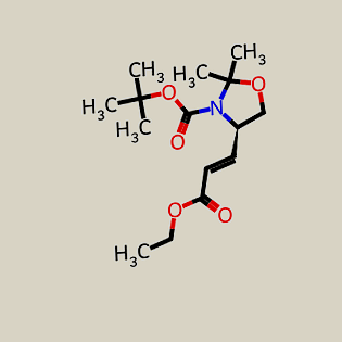 CCOC(=O)/C=C/[C@@H]1COC(C)(C)N1C(=O)OC(C)(C)C